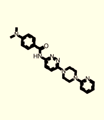 CN(C)c1ccc(C(=O)Nc2ccc(N3CCN(c4ccccn4)CC3)nn2)cc1